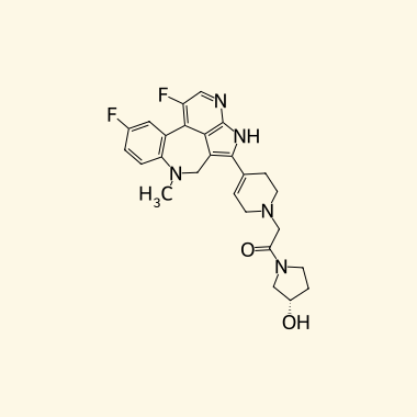 CN1Cc2c(C3=CCN(CC(=O)N4CC[C@H](O)C4)CC3)[nH]c3ncc(F)c(c23)-c2cc(F)ccc21